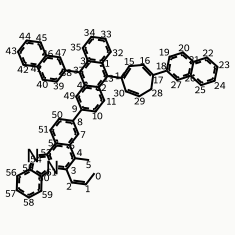 C/C=C\c1c(C)c2cc(-c3ccc4c(C5=CC=C(c6ccc7ccccc7c6)CC=C5)c5ccccc5c(-c5ccc6ccccc6c5)c4c3)ccc2c2nc3ccccc3n12